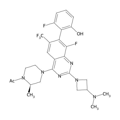 CC(=O)N1CCN(c2nc(N3CC(N(C)C)C3)nc3c(F)c(-c4c(O)cccc4F)c(C(F)(F)F)cc23)C[C@H]1C